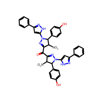 O=C(C1=NN(c2cc(-c3ccccc3)n[nH]2)C(c2ccc(O)cc2)C1[N+](=O)[O-])C1=NN(c2cc(-c3ccccc3)n[nH]2)C(c2ccc(O)cc2)C1[N+](=O)[O-]